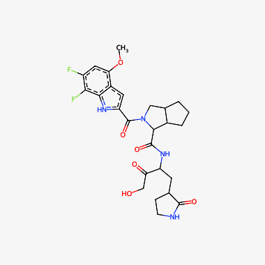 COc1cc(F)c(F)c2[nH]c(C(=O)N3CC4CCCC4C3C(=O)NC(CC3CCNC3=O)C(=O)CO)cc12